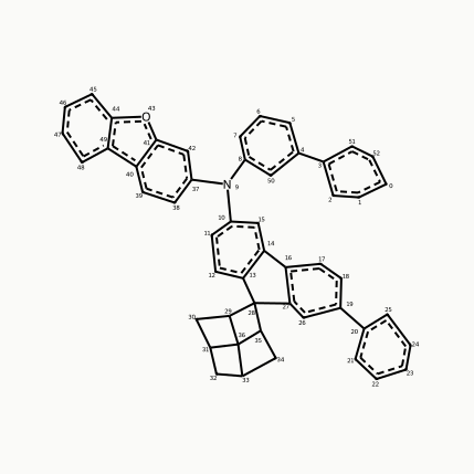 c1ccc(-c2cccc(N(c3ccc4c(c3)-c3ccc(-c5ccccc5)cc3C43C4CC5CC6CC3C564)c3ccc4c(c3)oc3ccccc34)c2)cc1